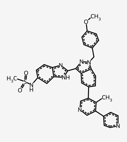 COc1ccc(Cn2nc(-c3nc4ccc(NS(C)(=O)=O)cc4[nH]3)c3cc(-c4cncc(-c5ccncc5)c4C)ccc32)cc1